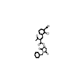 CC(=O)C(=Cc1cccc(C#N)c1Cl)C(=O)O[C@H]1CC(=O)N(Cc2ccccc2)C1=O